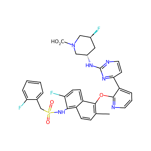 Cc1ccc2c(NS(=O)(=O)Cc3ccccc3F)c(F)ccc2c1Oc1ncccc1-c1ccnc(N[C@H]2C[C@H](F)CN(C(=O)O)C2)n1